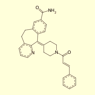 NC(=O)c1ccc2c(c1)CCc1cccnc1C2=C1CCN(C(=O)C=Cc2ccccc2)CC1